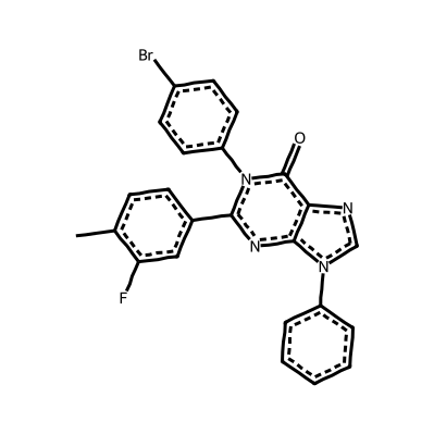 Cc1ccc(-c2nc3c(ncn3-c3ccccc3)c(=O)n2-c2ccc(Br)cc2)cc1F